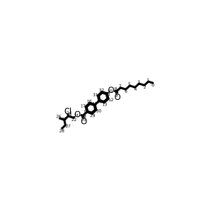 CCCCCCCCC(=O)Oc1ccc(-c2ccc(C(=O)OCC(Cl)C(C)CC)cc2)cc1